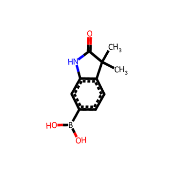 CC1(C)C(=O)Nc2cc(B(O)O)ccc21